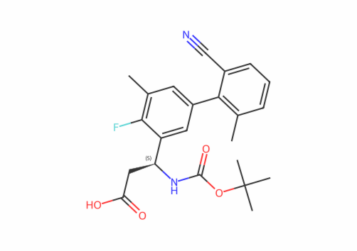 Cc1cc(-c2c(C)cccc2C#N)cc([C@H](CC(=O)O)NC(=O)OC(C)(C)C)c1F